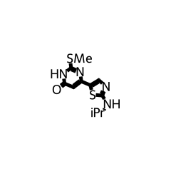 CSc1nc(-c2cnc(NC(C)C)s2)cc(=O)[nH]1